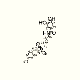 CCc1ccc(/C=C2\SC(=O)N(CCOCCNC(=O)c3ccc(O)c(O)c3)C2=O)cc1